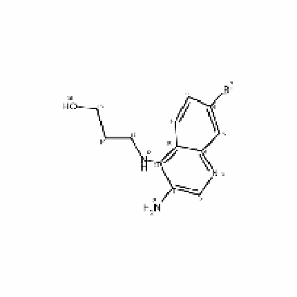 Nc1cnc2cc(Br)ccc2c1NCCCO